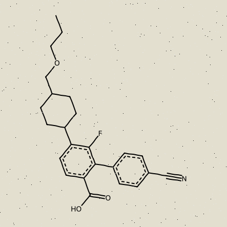 CCCOCC1CCC(c2ccc(C(=O)O)c(-c3ccc(C#N)cc3)c2F)CC1